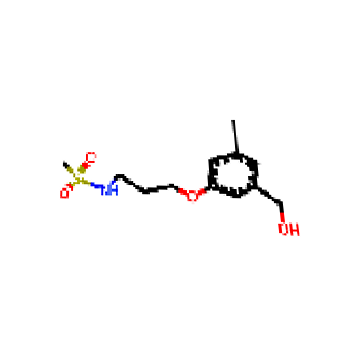 Cc1[c]c(CO)cc(OCCCNS(C)(=O)=O)c1